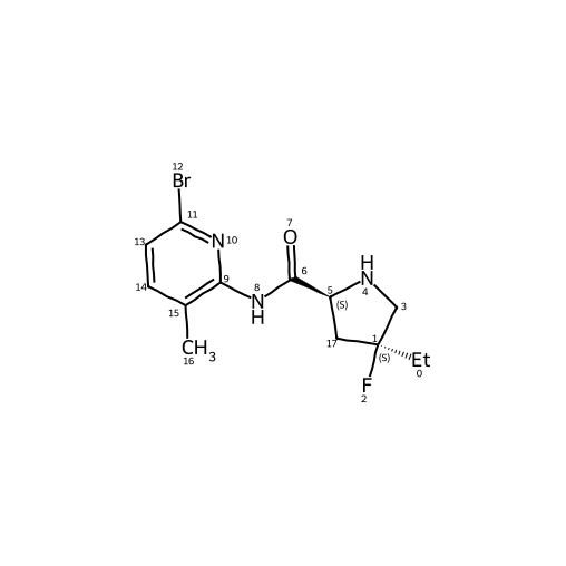 CC[C@@]1(F)CN[C@H](C(=O)Nc2nc(Br)ccc2C)C1